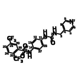 O=C(NCc1ccncc1)Nc1ccc(NS(=O)(=O)c2cc(C(F)(F)F)ccc2C(F)(F)F)cc1